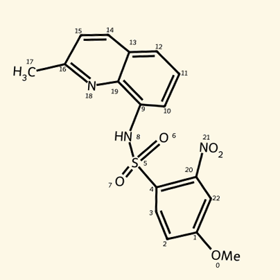 COc1ccc(S(=O)(=O)Nc2cccc3ccc(C)nc23)c([N+](=O)[O-])c1